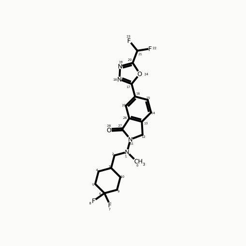 CN(CC1CCC(F)(F)CC1)N1Cc2ccc(-c3nnc(C(F)F)o3)cc2C1=O